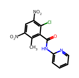 Cc1c([N+](=O)[O-])cc([N+](=O)[O-])c(Cl)c1C(=O)Nc1ccccn1